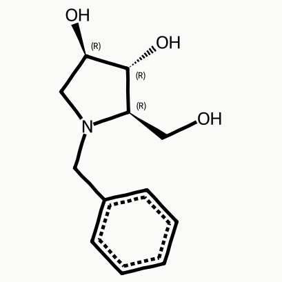 OC[C@@H]1[C@@H](O)[C@H](O)CN1Cc1ccccc1